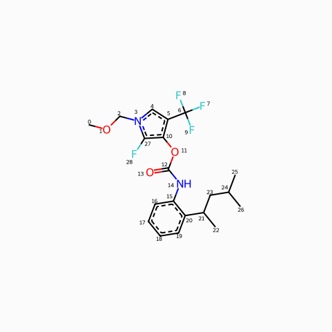 COCn1cc(C(F)(F)F)c(OC(=O)Nc2ccccc2C(C)CC(C)C)c1F